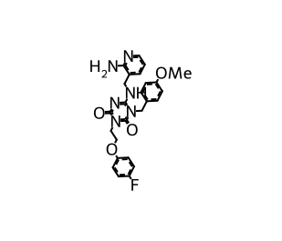 COc1ccc(Cn2c(NCc3cccnc3N)nc(=O)n(CCOc3ccc(F)cc3)c2=O)cc1